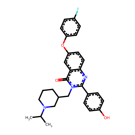 CC(C)N1CCCC(Cn2c(-c3ccc(O)cc3)nc3ccc(Oc4ccc(F)cc4)cc3c2=O)C1